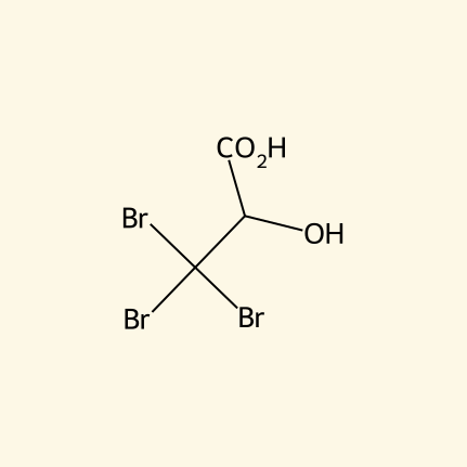 O=C(O)C(O)C(Br)(Br)Br